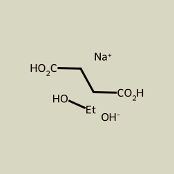 CCO.O=C(O)CCC(=O)O.[Na+].[OH-]